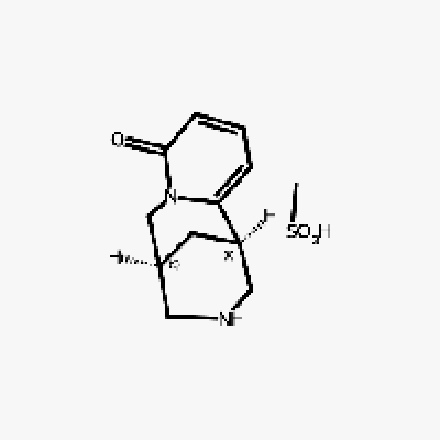 CS(=O)(=O)O.O=c1cccc2n1C[C@@H]1CNC[C@H]2C1